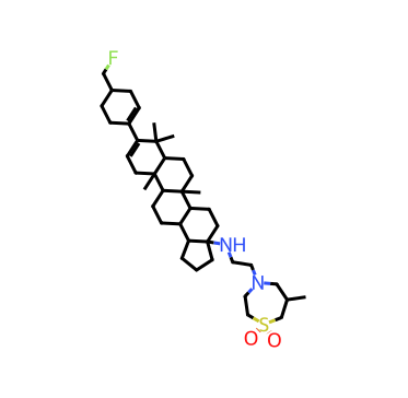 CC1CN(CCNC23CCCC2C2CCC4C(C)(CCC5C(C)(C)C(C6=CCC(CF)CC6)=CCC54C)C2CC3)CCS(=O)(=O)C1